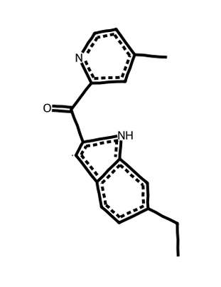 CCc1ccc2[c]c(C(=O)c3cc(C)ccn3)[nH]c2c1